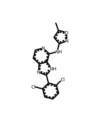 Cc1cc(Nc2nccc3nc(-c4c(Cl)cccc4Cl)[nH]c23)no1